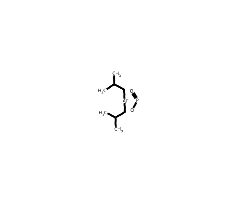 CC(C)[CH2][Al+][CH2]C(C)C.O=P[O-]